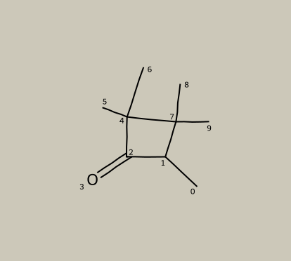 CC1C(=O)C(C)(C)C1(C)C